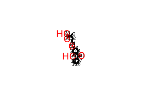 CC(=CCCOc1ccc(C(=O)c2ccccc2)c(O)c1)C(=O)O